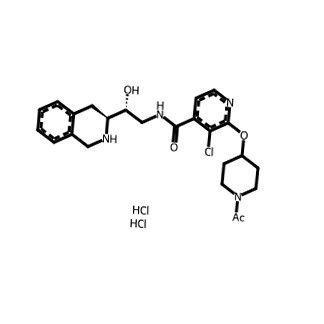 CC(=O)N1CCC(Oc2nccc(C(=O)NC[C@@H](O)[C@@H]3Cc4ccccc4CN3)c2Cl)CC1.Cl.Cl